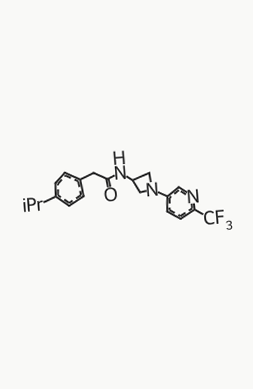 CC(C)c1ccc(CC(=O)NC2CN(c3ccc(C(F)(F)F)nc3)C2)cc1